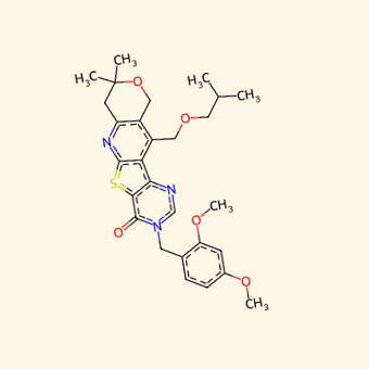 COc1ccc(Cn2cnc3c(sc4nc5c(c(COCC(C)C)c43)COC(C)(C)C5)c2=O)c(OC)c1